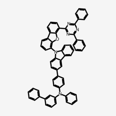 c1ccc(-c2cccc(N(c3ccccc3)c3ccc(-c4ccc5c(c4)c4ccccc4n5-c4cccc5c4oc4c(-c6nc(-c7ccccc7)nc(-c7ccccc7)n6)cccc45)cc3)c2)cc1